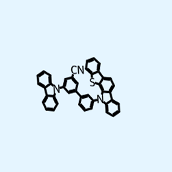 N#Cc1cc(-c2cccc(-n3c4ccccc4c4ccc5c6ccccc6sc5c43)c2)cc(-n2c3ccccc3c3ccccc32)c1